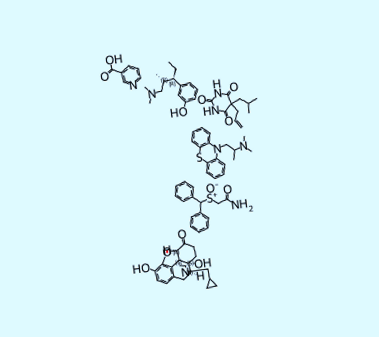 C=CCC1(CC(C)C)C(=O)NC(=O)NC1=O.CC(CN1c2ccccc2Sc2ccccc21)N(C)C.CC[C@@H](c1cccc(O)c1)[C@@H](C)CN(C)C.NC(=O)C[S+]([O-])C(c1ccccc1)c1ccccc1.O=C(O)c1cccnc1.O=C1CC[C@@]2(O)[C@H]3Cc4ccc(O)c5c4[C@@]2(CCN3CC2CC2)[C@H]1O5